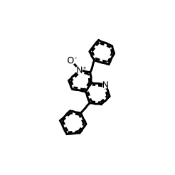 [O-][n+]1ccc2c(-c3ccccc3)ccnc2c1-c1ccccc1